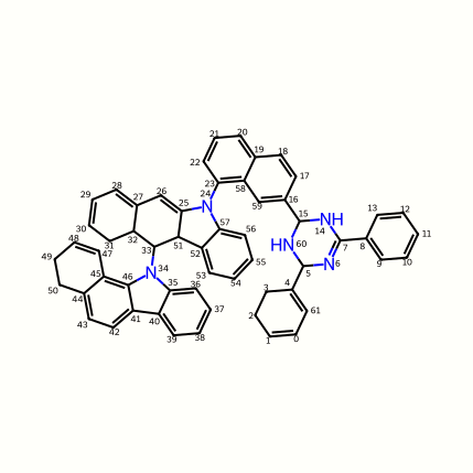 C1=CCCC(C2N=C(c3ccccc3)NC(c3ccc4cccc(N5C6=CC7=CC=CCC7C(n7c8ccccc8c8ccc9c(c87)C=CCC9)C6c6ccccc65)c4c3)N2)=C1